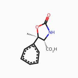 C[C@]1(c2ccccc2)OC(=O)N[C@@H]1C(=O)O